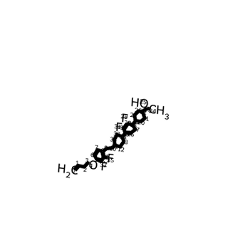 C=CCCOc1ccc(CCC2CCC(C3=CCC(C4CCC(C(C)O)CC4)C(F)=C3F)CC2)c(F)c1F